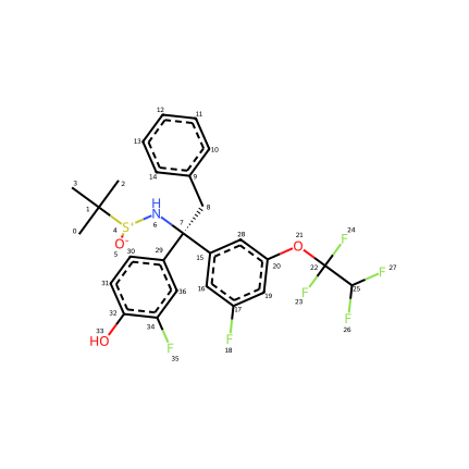 CC(C)(C)[S+]([O-])N[C@@](Cc1ccccc1)(c1cc(F)cc(OC(F)(F)C(F)F)c1)c1ccc(O)c(F)c1